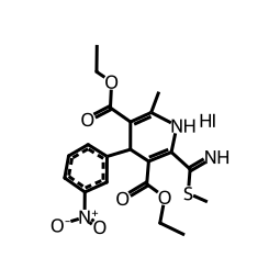 CCOC(=O)C1=C(C)NC(C(=N)SC)=C(C(=O)OCC)C1c1cccc([N+](=O)[O-])c1.I